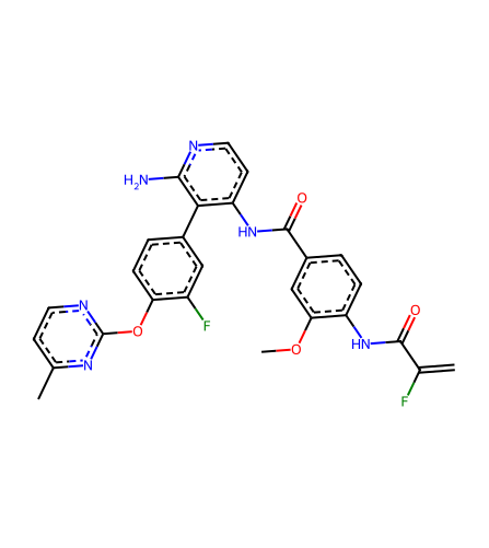 C=C(F)C(=O)Nc1ccc(C(=O)Nc2ccnc(N)c2-c2ccc(Oc3nccc(C)n3)c(F)c2)cc1OC